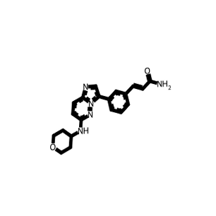 NC(=O)C=Cc1cccc(-c2cnc3ccc(NC4CCOCC4)nn23)c1